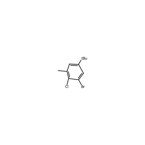 Cc1cc(C(C)(C)C)cc(Br)c1Cl